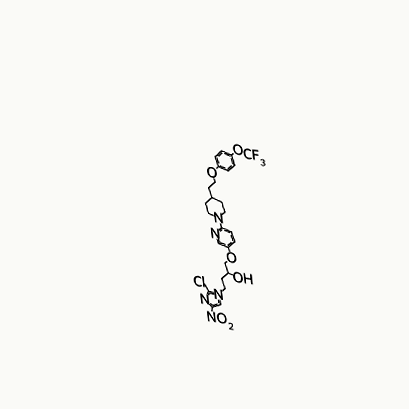 O=[N+]([O-])c1cn(CCC(O)COc2ccc(N3CCC(CCOc4ccc(OC(F)(F)F)cc4)CC3)nc2)c(Cl)n1